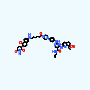 C=CCNC(=O)c1cnc(Nc2ccc(N3CCN(C(=O)CCCCCNc4ccc5c(c4)CC[C@H](C4CCC(=O)NC4=O)C5=O)CC3)cc2)nc1Nc1ccc2c(n1)[C@@](O)(CC)CC2